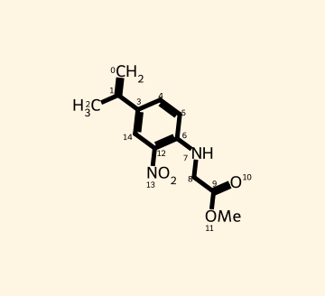 C=C(C)c1ccc(NCC(=O)OC)c([N+](=O)[O-])c1